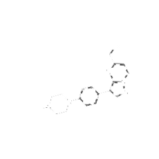 CN1CCN(c2ccc(-c3cnn4ccc(C=O)nc34)cc2)CC1